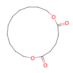 O=C1CCCC(=O)OCCCCCCCCCCO1